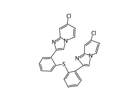 Clc1ccn2cc(-c3ccccc3Sc3ccccc3-c3cn4ccc(Cl)cc4n3)nc2c1